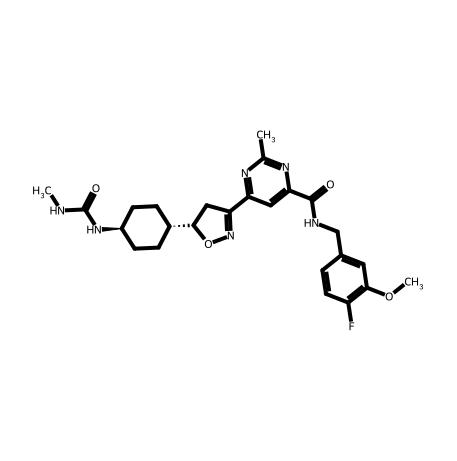 CNC(=O)N[C@H]1CC[C@H](C2CC(c3cc(C(=O)NCc4ccc(F)c(OC)c4)nc(C)n3)=NO2)CC1